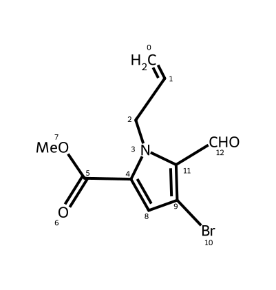 C=CCn1c(C(=O)OC)cc(Br)c1C=O